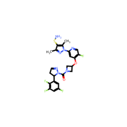 Cc1nn(-c2cc(OC3CN(C(=O)N4N=CCC4c4cc(F)cc(F)c4F)C3)c(F)cn2)c(C)c1SN